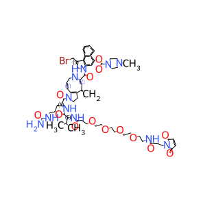 C=C1/C=C(/C(=O)N2C[C@@H](CBr)c3c2cc(OC(=O)N2CCN(C)CC2)c2ccccc32)NC/C=C\C2=C1CCN2C(=O)[C@H](CCCNC(N)=O)NC(=O)[C@@H](NC(=O)CCOCCOCCOCCOCCNC(=O)CCN1C(=O)C=CC1=O)C(C)C